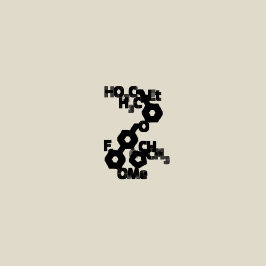 CCC(C)(CC(=O)O)c1cccc(OCc2ccc(-c3cc(OC)ccc3F)c([C@H]3CCCC3(C)C)c2)c1